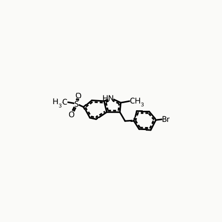 Cc1[nH]c2cc(S(C)(=O)=O)ccc2c1Cc1ccc(Br)cc1